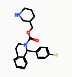 O=C(OCC1CCCNC1)N1CCc2ccccc2C1c1ccc(F)cc1